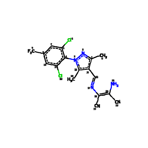 Cc1nn(-c2c(Cl)cc(C(F)(F)F)cc2Cl)c(C)c1C=NC(C#N)=C(N)C#N